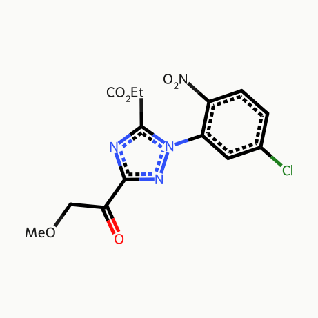 CCOC(=O)c1nc(C(=O)COC)nn1-c1cc(Cl)ccc1[N+](=O)[O-]